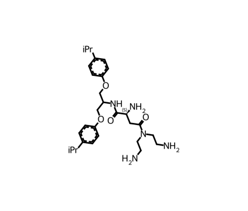 CC(C)c1ccc(OCC(COc2ccc(C(C)C)cc2)NC(=O)[C@@H](N)CC(=O)N(CCN)CCN)cc1